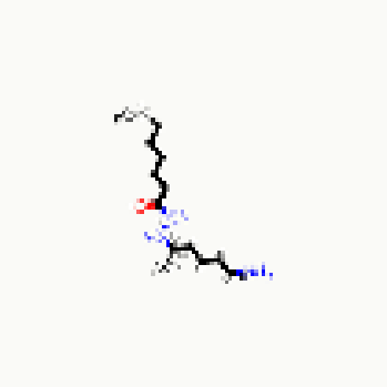 CCCCCCCCCCCCCCCC(=O)NN[C@@H](CCCCN)C(C)=O